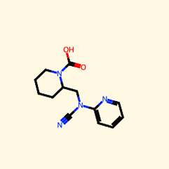 N#CN(CC1CCCCN1C(=O)O)c1ccccn1